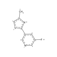 Cc1[c]sc(-c2cncc(F)c2)n1